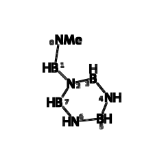 CNBN1BNBNB1